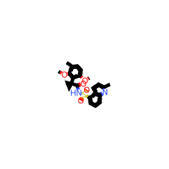 COc1ccc(C)c(OC)c1C1(C(=O)NS(=O)(=O)c2cccc3nc(C)ccc23)CC1